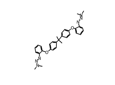 CN(C)/N=N/c1ccccc1Oc1ccc(C(C)(C)c2ccc(Oc3ccccc3/N=N/N(C)C)cc2)cc1